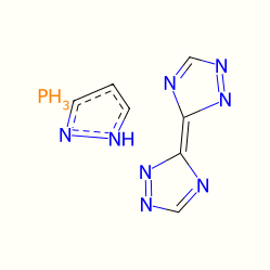 C1=NC(=C2N=CN=N2)N=N1.P.c1cn[nH]c1